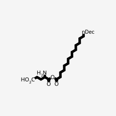 CCCCCCCCCCCCCCCCCCCCCCCC(=O)OC(=O)C(N)CCC(=O)O